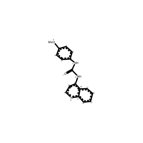 COc1ccc(NC(=O)Nc2ccnc3ccccc23)cc1